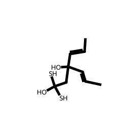 CC=CC(O)(C=CC)CC(O)(S)S